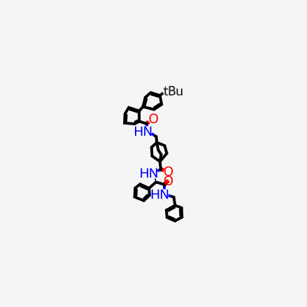 CC(C)(C)c1ccc(-c2ccccc2C(=O)NCC23CCC(C(=O)N[C@H](C(=O)NCc4ccccc4)c4ccccc4)(CC2)CC3)cc1